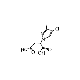 Cc1nn(C(CC(=O)O)C(=O)O)cc1Cl